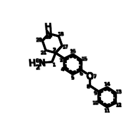 NCC1(c2ccc(OCc3ccccc3)cc2)CCNCC1